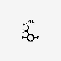 O=C(CNP)c1cc(F)ccc1F